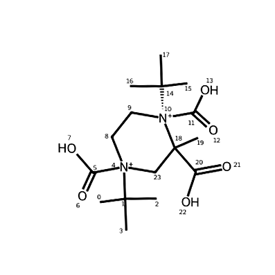 CC(C)(C)[N+]1(C(=O)O)CC[N@+](C(=O)O)(C(C)(C)C)C(C)(C(=O)O)C1